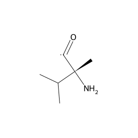 CC(C)[C@@](C)(N)[C]=O